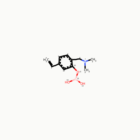 C=Cc1ccc(CN(C)C)c(OB(O)O)c1